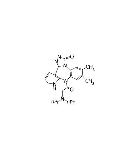 CCCN(CCC)CC(=O)N1C2=C(C=CCN2)C2N=NC(=O)N2c2cc(C)c(C)cc21